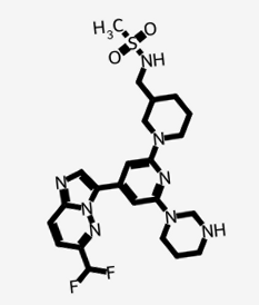 CS(=O)(=O)NCC1CCCN(c2cc(-c3cnc4ccc(C(F)F)nn34)cc(N3CCCNC3)n2)C1